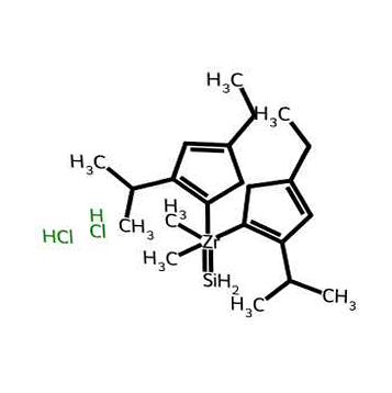 CCC1=CC(C(C)C)=[C]([Zr]([CH3])([CH3])(=[SiH2])[C]2=C(C(C)C)C=C(CC)C2)C1.Cl.Cl